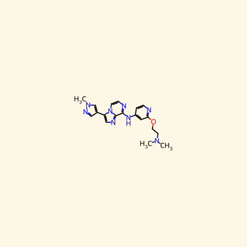 CN(C)CCOc1cc(Nc2nccn3c(-c4cnn(C)c4)cnc23)ccn1